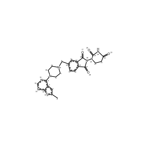 Cc1cc2c(N3CCN(Cc4ccc5c(c4)C(=O)N(N4CCC(=O)NC4=O)C5=O)CC3)ncnc2s1